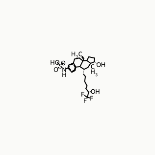 C=CC12CCc3cc(NS(=O)(=O)O)ccc3C1[C@@H](CCCCC[C@@H](O)C(F)(F)F)C[C@@]1(C)C2CC[C@@H]1O